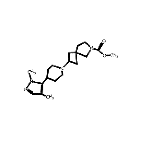 COC(=O)N1CCC2(CC(N3CCC(c4c(C)cnn4C)CC3)C2)C1